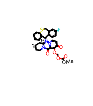 COC(=O)OCOc1c2n(ccc1=O)N([C@H]1c3ccc(F)cc3CSc3ccccc31)[C@@H]1C[C@H](C)CCN1C2=O